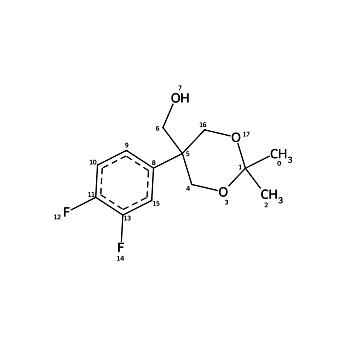 CC1(C)OCC(CO)(c2ccc(F)c(F)c2)CO1